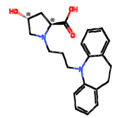 O=C(O)[C@@H]1C[C@@H](O)CN1CCCN1c2ccccc2CCc2ccccc21